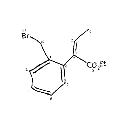 CC=C(C(=O)OCC)c1ccccc1CBr